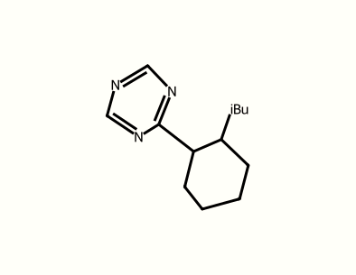 CCC(C)C1CCCCC1c1ncncn1